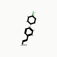 CCCCCCCCC=Cc1ccc([C@H]2CC[C@H](F)CC2)cc1